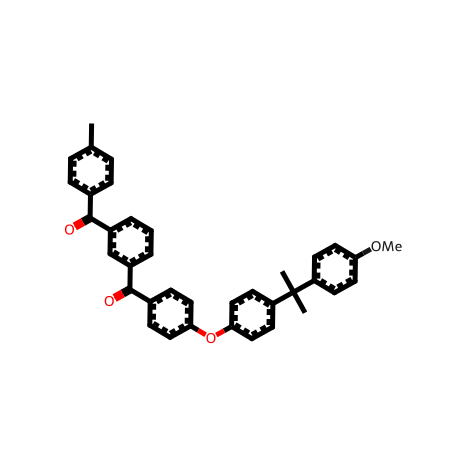 COc1ccc(C(C)(C)c2ccc(Oc3ccc(C(=O)c4cccc(C(=O)c5ccc(C)cc5)c4)cc3)cc2)cc1